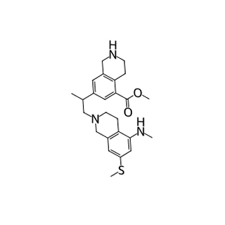 CNc1cc(SC)cc2c1CCN(CC(C)c1cc3c(c(C(=O)OC)c1)CCNC3)C2